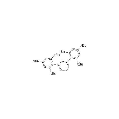 CC(C)(C)c1cc(C(C)(C)C)c(-c2[c]c(-c3c(C(C)(C)C)cc(C(C)(C)C)cc3C(C)(C)C)ccc2)c(C(C)(C)C)c1